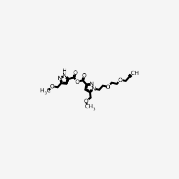 C#CCOCCOCCn1nc(C(=O)OC(=O)c2cc(COC)n[nH]2)cc1COC